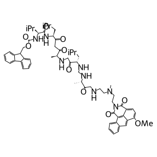 COc1ccc2c3c(c4ccccc4cc13)C(=O)N(CCN(C)CCNCC(=O)[C@H](C)NCN[C@@H](CC(C)C)C(=O)CN[C@@H](C)C(=O)CC(=O)[C@H](CC(C)C)NC(=O)[C@@H](NC(=O)OCC1c3ccccc3-c3ccccc31)C(C)C)C2=O